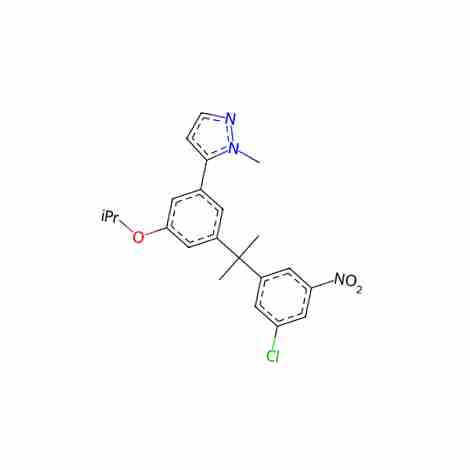 CC(C)Oc1cc(-c2ccnn2C)cc(C(C)(C)c2cc(Cl)cc([N+](=O)[O-])c2)c1